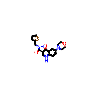 O=C(NCc1cccs1)c1c[nH]c2ccc(N3CCOCC3)cc2c1=O